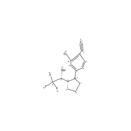 [C-]#[N+]c1ccc(N2CCC[C@@H]2[C@@H](O)C(F)(F)F)cc1Cl